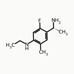 CCNc1cc(F)c([C@@H](C)N)cc1C